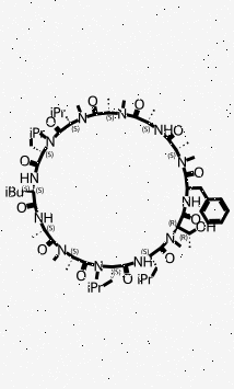 CC[C@H](C)[C@@H]1NC(=O)[C@H](CC(C)C)N(C)C(=O)[C@H](C(C)C)N(C)C(=O)[C@H](C)N(C)C(=O)[C@H](C)NC(=O)[C@H](C)N(C)C(=O)C(Cc2ccccc2)NC(=O)[C@@H]([C@@H](C)O)N(C)C(=O)[C@H](CC(C)C)NC(=O)[C@H](CC(C)C)N(C)C(=O)[C@H](C)N(C)C(=O)[C@H](C)NC1=O